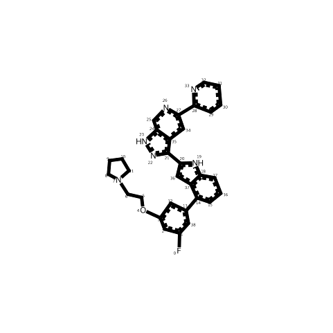 Fc1cc(OCCN2CCCC2)cc(-c2cccc3[nH]c(-c4n[nH]c5cnc(-c6ccccn6)cc45)cc23)c1